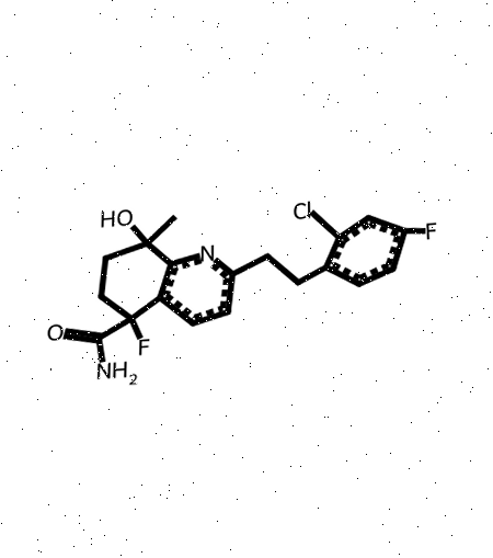 CC1(O)CCC(F)(C(N)=O)c2ccc(CCc3ccc(F)cc3Cl)nc21